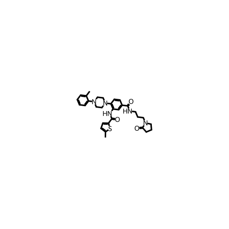 Cc1ccc(C(=O)Nc2cc(C(=O)NCCCN3CCCC3=O)ccc2N2CCN(c3ccccc3C)CC2)s1